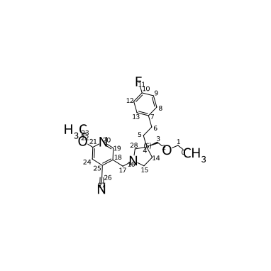 CCOC[C@@]1(CCc2ccc(F)cc2)CCN(Cc2cnc(OC)cc2C#N)C1